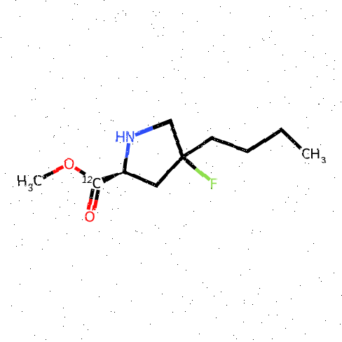 CCCCC1(F)CN[C@H]([12C](=O)OC)C1